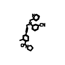 Cc1cc(C#CCN(Cc2ccccn2)c2cccc(C#N)c2)ccc1C(=O)N1CCCC1